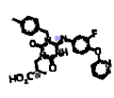 Cc1ccc(Cn2c(=O)n(C[C@H](C)C(=O)O)c(=O)[nH]/c2=N\c2ccc(Oc3ccccn3)c(F)c2)cc1